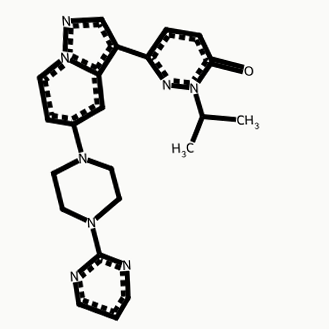 CC(C)n1nc(-c2cnn3ccc(N4CCN(c5ncccn5)CC4)cc23)ccc1=O